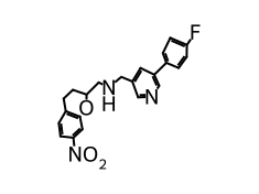 O=[N+]([O-])c1ccc2c(c1)OC(CNCc1cncc(-c3ccc(F)cc3)c1)CC2